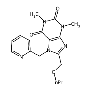 CCCOCc1nc2c(c(=O)n(C)c(=O)n2C)n1Cc1ccccn1